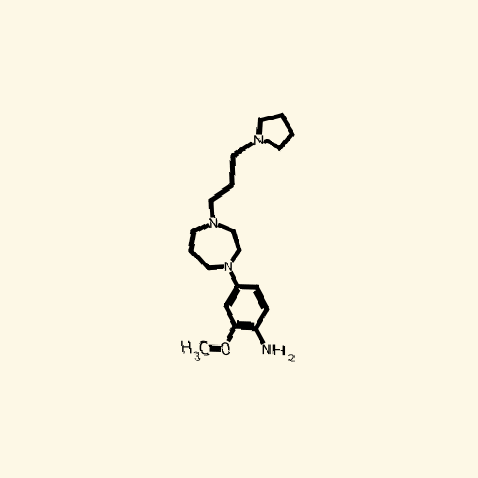 COc1cc(N2CCCN(CCCN3CCCC3)CC2)ccc1N